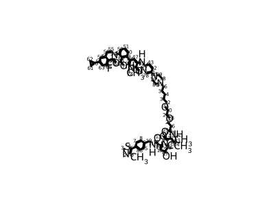 Cc1ncsc1-c1ccc(CNC(=O)[C@@H]2C[C@@H](O)CN2C(=O)[C@@H](NC(=O)CCOCCOCCCCCN2CCN(c3ccc(Nc4cc(-c5cccc(-n6ccc7cc(C8CC8)cc(F)c7c6=O)c5CO)cn(C)c4=O)nc3)CC2)C(C)(C)C)cc1